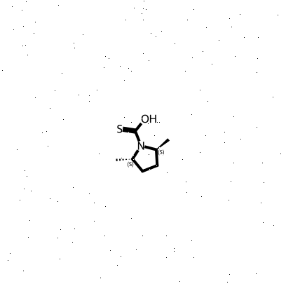 C[C@H]1CC[C@H](C)N1C(O)=S